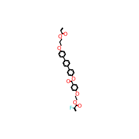 C=CC(=O)OCCCOc1ccc(-c2ccc(-c3ccc(OC(=O)c4ccc(OCCOC(=O)C(=C)F)cc4)cc3)cc2)cc1